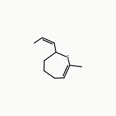 C/C=C\C1CCCC=C(C)S1